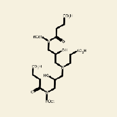 CCCCCCCCN(CC(O)CN(CCS(=O)(=O)O)CC(O)CN(CCCCCCCC)C(=O)CCC(=O)O)C(=O)CCC(=O)O